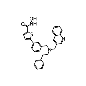 O=C(NO)c1ccc(-c2cccc(CN(CCc3ccccc3)Cc3cnc4ccccc4c3)c2)s1